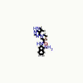 Cc1c[nH]c2ncnc(N3C=C(C(=O)N[C@H]4Cc5ccccc5[C@@H]4N)SCC3)c12